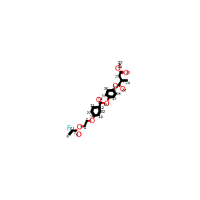 C=C(F)C(=O)OCCOc1ccc(C(=O)Oc2ccc(OC(=O)C(=C)CC(=O)OC)cc2)cc1